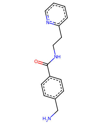 NCc1ccc(C(=O)NCCc2ccccn2)cc1